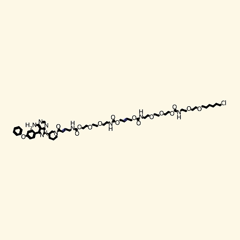 Nc1ncnc2c1c(-c1ccc(Oc3ccccc3)cc1)nn2[C@@H]1CCCN(C(=O)/C=C/CNC(=O)OCCOCCOCCNC(=O)OC/C=C/COC(=O)NCCOCCOCCOC(=O)NCCOCCOCCCCCCCl)C1